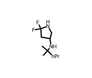 CCCC(C)(C)NC1CNC(F)(F)C1